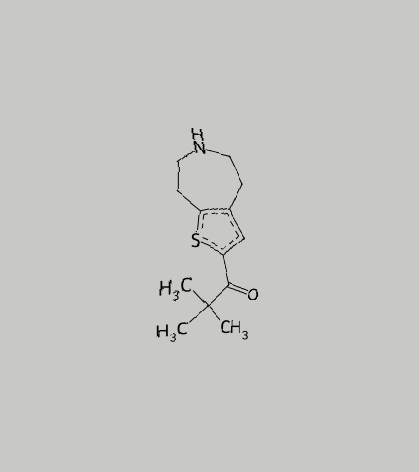 CC(C)(C)C(=O)c1cc2c(s1)CCNCC2